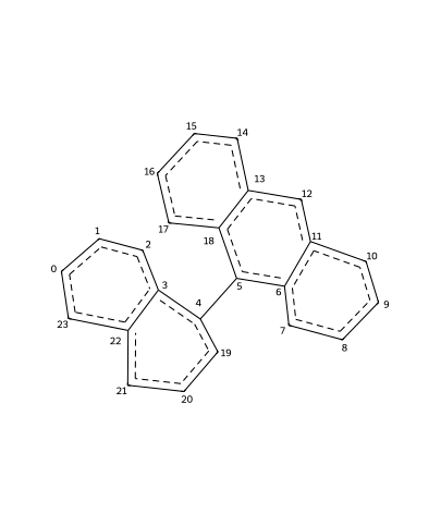 c1ccc2c(-c3c4ccccc4cc4ccccc34)cccc2c1